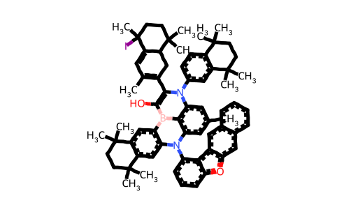 CC1=C(C2=C(O)B3c4cc5c(cc4N(c4cccc6oc7cc8ccccc8cc7c46)c4cc(C)cc(c43)N2c2ccc3c(c2)C(C)(C)CCC3(C)C)C(C)(C)CCC5(C)C)CC2C(=C1)C(C)(I)CCC2(C)C